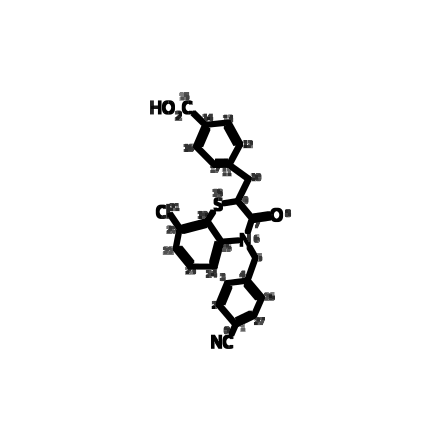 N#Cc1ccc(CN2C(=O)C(Cc3ccc(C(=O)O)cc3)Sc3c(Cl)cccc32)cc1